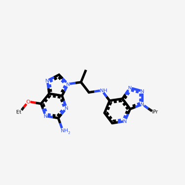 CCOc1nc(N)nc2c1ncn2C(C)CNc1ccnc2c1nnn2C(C)C